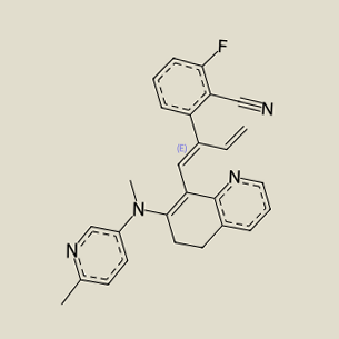 C=C/C(=C\C1=C(N(C)c2ccc(C)nc2)CCc2cccnc21)c1cccc(F)c1C#N